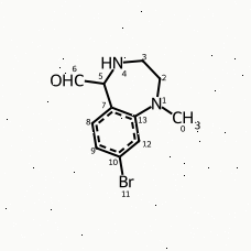 CN1CCNC(C=O)c2ccc(Br)cc21